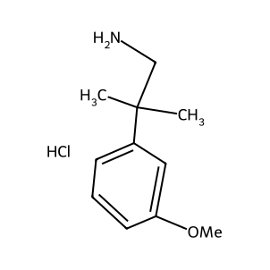 COc1cccc(C(C)(C)CN)c1.Cl